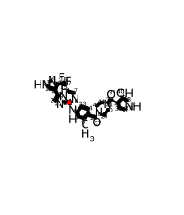 Cc1cc(Nc2nccn3c(-c4c[nH]nc4C(F)(F)F)cnc23)ccc1C(=O)N1CCN(C(=O)[C@@H]2CCNC[C@H]2O)CC1